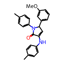 COc1cccc(C2C=C(Nc3ccc(C)cc3)C(=O)N2c2ccc(C)cc2)c1